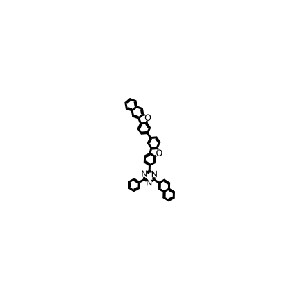 c1ccc(-c2nc(-c3ccc4ccccc4c3)nc(-c3ccc4c(c3)oc3ccc(-c5ccc6c(c5)oc5cc7ccccc7cc56)cc34)n2)cc1